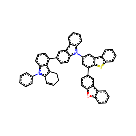 C1=Cc2c(c3c(-c4ccc5c(c4)c4ccccc4n5-c4cc(-c5ccc6oc7ccccc7c6c5)c5sc6ccccc6c5c4)cccc3n2-c2ccccc2)CC1